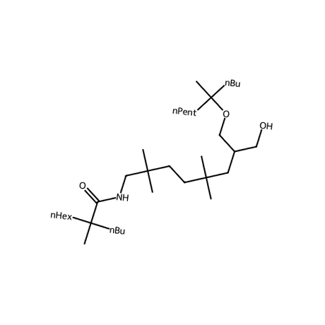 CCCCCCC(C)(CCCC)C(=O)NCC(C)(C)CCC(C)(C)CC(CO)COC(C)(CCCC)CCCCC